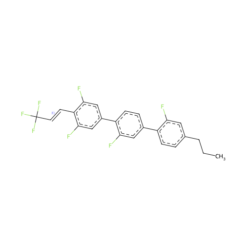 CCCc1ccc(-c2ccc(-c3cc(F)c(/C=C/C(F)(F)F)c(F)c3)c(F)c2)c(F)c1